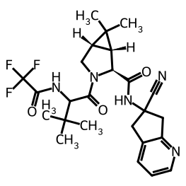 CC(C)(C)C(NC(=O)C(F)(F)F)C(=O)N1C[C@H]2[C@@H]([C@H]1C(=O)NC1(C#N)Cc3cccnc3C1)C2(C)C